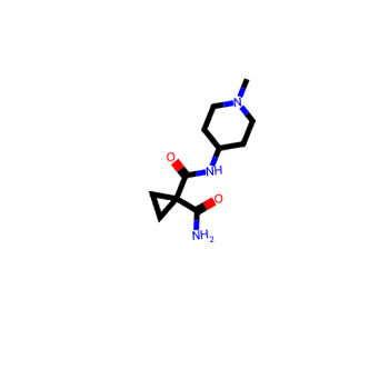 CN1CCC(NC(=O)C2(C(N)=O)CC2)CC1